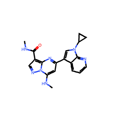 CNC(=O)c1cnn2c(NC)cc(-c3cn(C4CC4)c4ncccc34)nc12